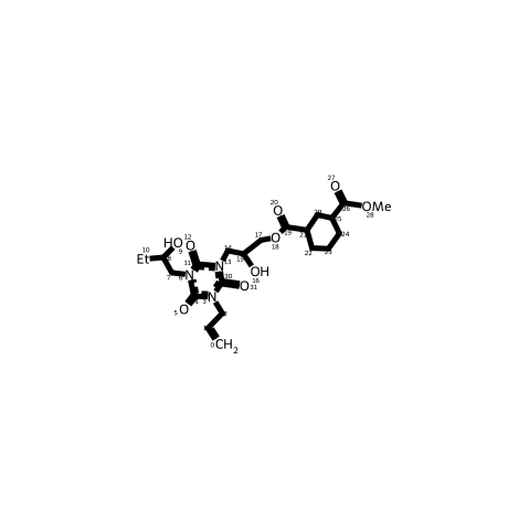 C=CCn1c(=O)n(CC(O)CC)c(=O)n(CC(O)COC(=O)C2CCCC(C(=O)OC)C2)c1=O